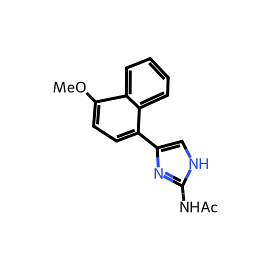 COc1ccc(-c2c[nH]c(NC(C)=O)n2)c2ccccc12